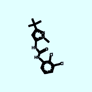 Cn1nc(C(C)(C)C)cc1NC(=O)Nc1cccc(Cl)c1Cl